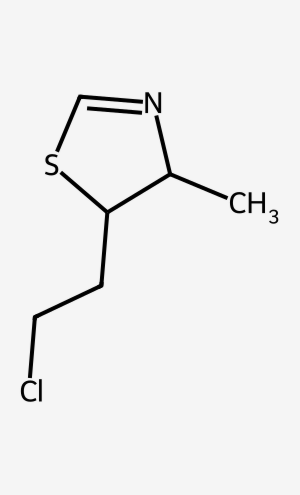 CC1N=CSC1CCCl